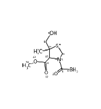 BC(=O)N1CSC(C)(CO)C1C(=O)OC